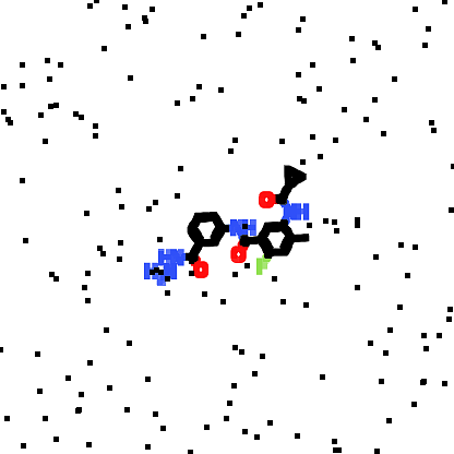 Cc1cc(F)c(C(=O)Nc2cccc(C(=O)NN)c2)cc1NC(=O)C1CC1